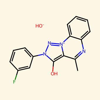 Cc1nc2ccccc2[n+]2nn(-c3cccc(F)c3)c(O)c12.[OH-]